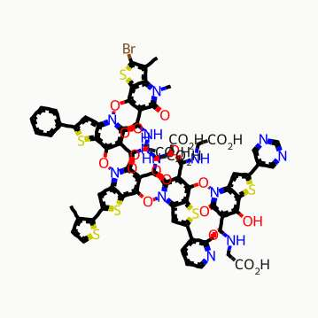 Cc1ccsc1-c1cc2c(s1)c(On1c(=O)c(C(=O)NCC(=O)O)c(On3c(=O)c(C(=O)NCC(=O)O)c(O)c4sc(-c5cncnc5)cc43)c3sc(-c4cccnc4C)cc31)c(C(=O)NCC(=O)O)c(=O)n2Oc1c(C(=O)NCC(=O)O)c(=O)n(Oc2c(C(=O)NCC(=O)O)c(=O)n(C)c3c(C)c(Br)sc23)c2cc(-c3ccccc3)sc12